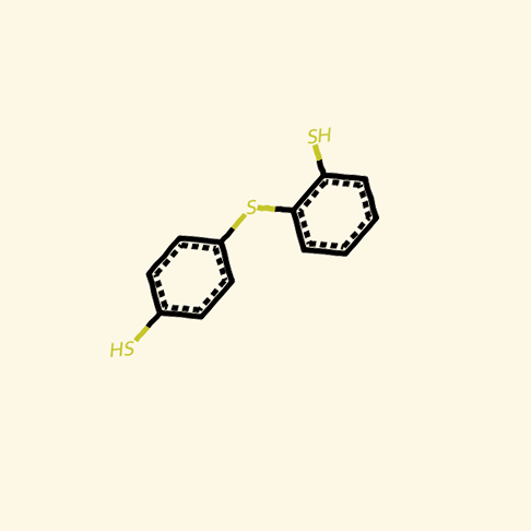 Sc1ccc(Sc2ccccc2S)cc1